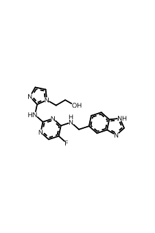 OCCn1ccnc1Nc1ncc(F)c(NCc2ccc3[nH]cnc3c2)n1